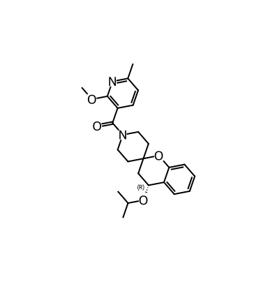 COc1nc(C)ccc1C(=O)N1CCC2(CC1)C[C@@H](OC(C)C)c1ccccc1O2